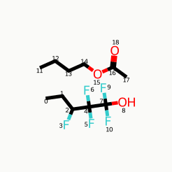 CCC(F)C(F)(F)C(O)(F)F.CCCCOC(C)=O